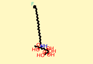 CCCC(O)C(CCC1OC(CO)C(O)C(O)C1O)NC(=O)CCCCCCCCCCCCCCCCCCCCCCCC12CC(F)(C1)C2